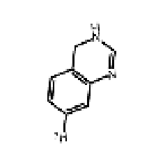 [2H]c1ccc2c(c1)N=CNC2